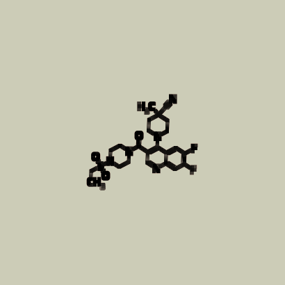 CCS(=O)(=O)N1CCN(C(=O)c2cnc3cc(F)c(F)cc3c2N2CCC(C)(C#N)CC2)CC1